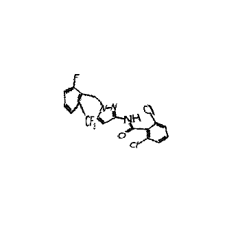 O=C(Nc1ccn(Cc2c(F)cccc2C(F)(F)F)n1)c1c(Cl)cccc1Cl